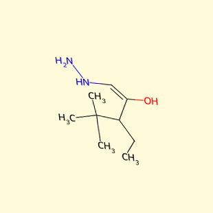 CCC(/C(O)=C\NN)C(C)(C)C